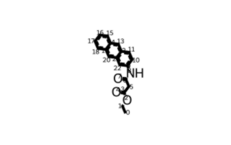 CCOC(=O)CC(=O)Nc1ccc2cc3ccccc3cc2c1